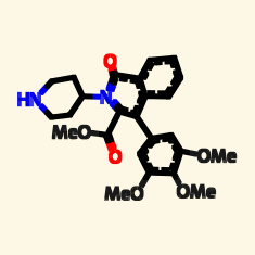 COC(=O)c1c(-c2cc(OC)c(OC)c(OC)c2)c2ccccc2c(=O)n1C1CCNCC1